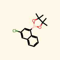 CC1(C)OB(c2cc(Cl)cc3ccccc23)OC1(C)C